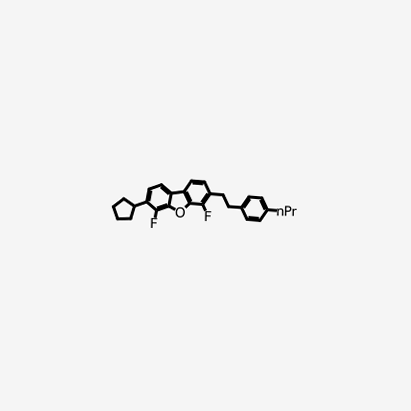 CCCc1ccc(CCc2ccc3c(oc4c(F)c(C5CCCC5)ccc43)c2F)cc1